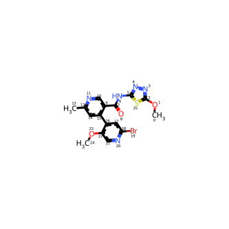 COc1nnc(NC(=O)c2cnc(C)cc2-c2cc(Br)ncc2OC)s1